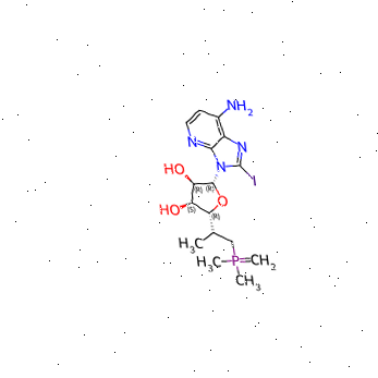 C=P(C)(C)CC(C)[C@H]1O[C@@H](n2c(I)nc3c(N)ccnc32)[C@H](O)[C@@H]1O